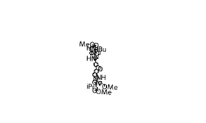 CC[C@H](C)[C@H](NC(=O)OC)C(=O)N1[C@@H](C)CC[C@H]1c1ncc(-c2ccc3c(c2)COc2cc4c(ccc5nc([C@@H]6C[C@H](COC)CN6C(=O)[C@@H](CC(=O)OC)C(C)C)[nH]c54)cc2-3)[nH]1